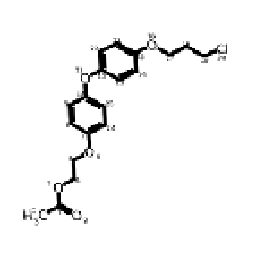 CC(=O)OCCOc1ccc(Oc2ccc(OCCCCl)cc2)cc1